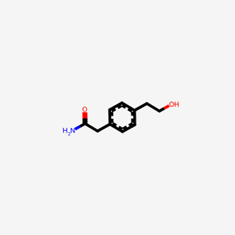 NC(=O)Cc1ccc(CCO)cc1